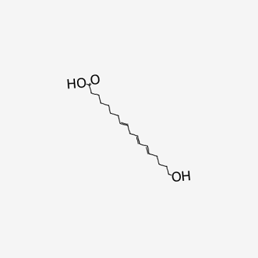 O=C(O)CCCCCCC=CCC=CC=CCCCCO